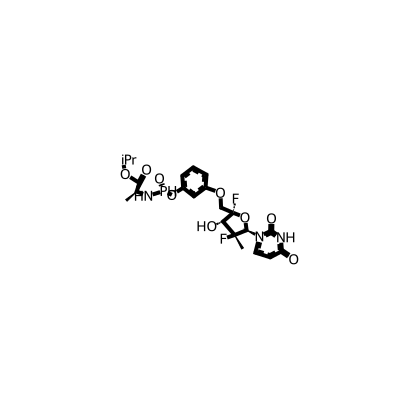 CC(C)OC(=O)[C@H](C)N[PH](=O)Oc1cccc(OC[C@@]2(F)O[C@@H](n3ccc(=O)[nH]c3=O)[C@](C)(F)[C@@H]2O)c1